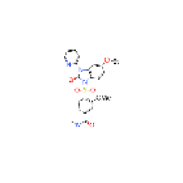 CCOc1ccc2c(c1)n(-c1ccccn1)c(=O)n2S(=O)(=O)c1ccc(C(=O)N(C)C)cc1OC